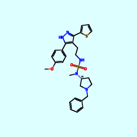 COc1ccc(-c2[nH]nc(-c3cccs3)c2CCNS(=O)(=O)N(C)[C@@H]2CCN(Cc3ccccc3)C2)cc1